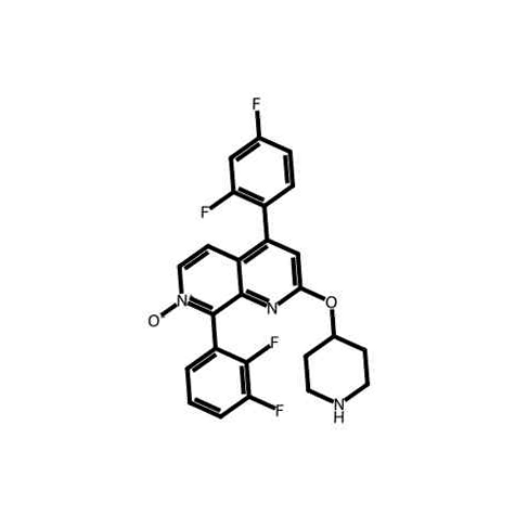 [O-][n+]1ccc2c(-c3ccc(F)cc3F)cc(OC3CCNCC3)nc2c1-c1cccc(F)c1F